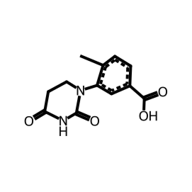 Cc1ccc(C(=O)O)cc1N1CCC(=O)NC1=O